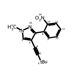 Cn1cc(C#CC(C)(C)C)c(-c2ccccc2[N+](=O)[O-])n1